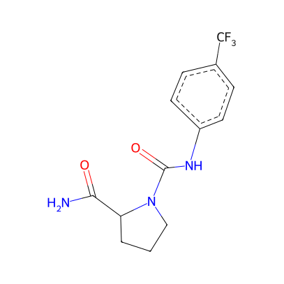 NC(=O)C1CCCN1C(=O)Nc1ccc(C(F)(F)F)cc1